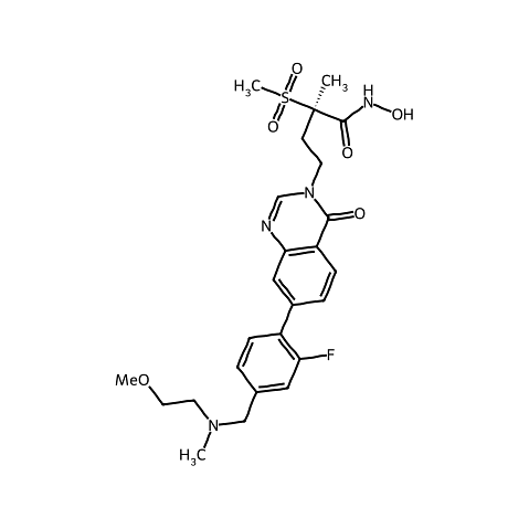 COCCN(C)Cc1ccc(-c2ccc3c(=O)n(CC[C@](C)(C(=O)NO)S(C)(=O)=O)cnc3c2)c(F)c1